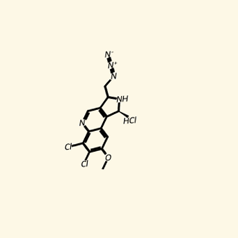 COc1cc2c3c(cnc2c(Cl)c1Cl)C(CN=[N+]=[N-])N[C@H]3C.Cl